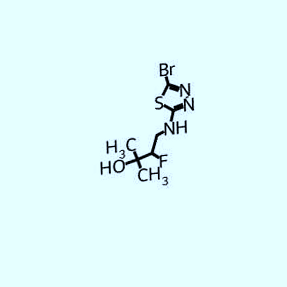 CC(C)(O)C(F)CNc1nnc(Br)s1